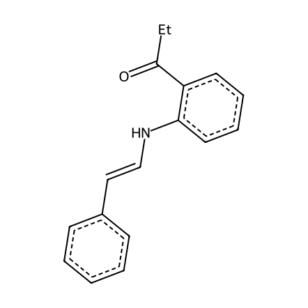 CCC(=O)c1ccccc1N/C=C/c1ccccc1